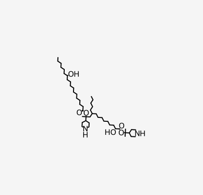 CCCCCCC(O)CCCCCCCCCCC(=O)OC(C)(CC(CCCCC)CCCCCCCC(O)C(=O)OC(C)(C)C1CCNCC1)C1CCNCC1